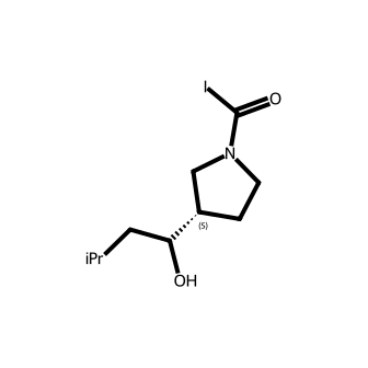 CC(C)CC(O)[C@H]1CCN(C(=O)I)C1